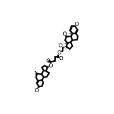 C[C@@H]1CC2=CC(=O)CCC2C2CCC3C(CC[C@@H]3OC(=O)CCC(=O)OCC(=O)[C@H]3CCC4C5CCC6=CC(=O)C=C[C@]6(C)C5C(=O)C[C@@]43C)C21